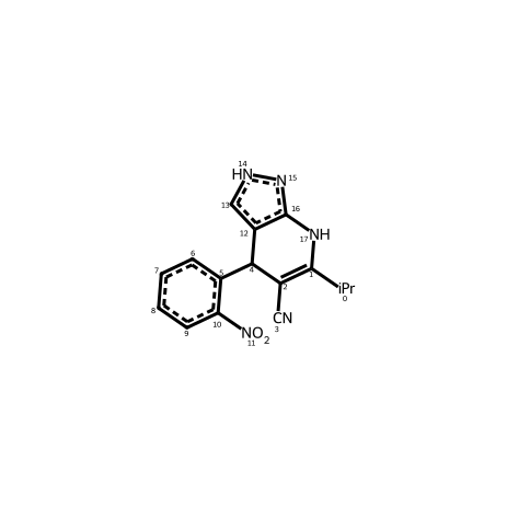 CC(C)C1=C(C#N)C(c2ccccc2[N+](=O)[O-])c2c[nH]nc2N1